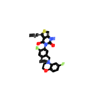 COc1cc(F)c(-n2c(=O)[nH]c3csc(C(=O)O)c3c2=O)cc1CN1CCOc2ccc(F)cc21